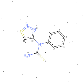 NC(=S)N(c1ccccc1)c1csnn1